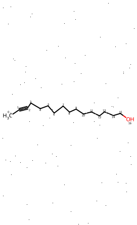 CC#CCCCCCCCCCCCCCO